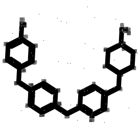 [CH2-][C+]1CCC(Cc2ccc(Cc3ccc(Cc4ccc(CC)cc4)cc3)nc2)CC1